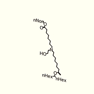 C=C(CCCCCCCN(CCO)CCCCCCCC(=O)OCCCCCCCCC)OC(CCCCCC)CCCCCC